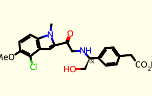 COc1ccc2c(cc(C(=O)CN[C@H](CO)c3ccc(CC(=O)O)cc3)n2C)c1Cl